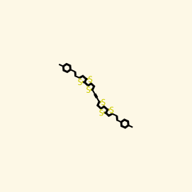 Cc1ccc(/C=C/c2cc3sc4cc(C#Cc5cc6sc7cc(/C=C/c8ccc(C)cc8)sc7c6s5)sc4c3s2)cc1